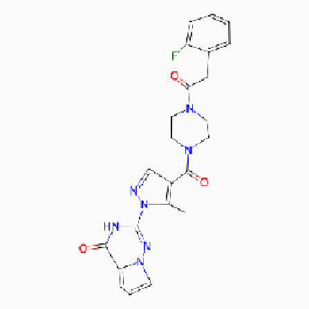 Cc1c(C(=O)N2CCN(C(=O)Cc3ccccc3F)CC2)cnn1-c1nn2cccc2c(=O)[nH]1